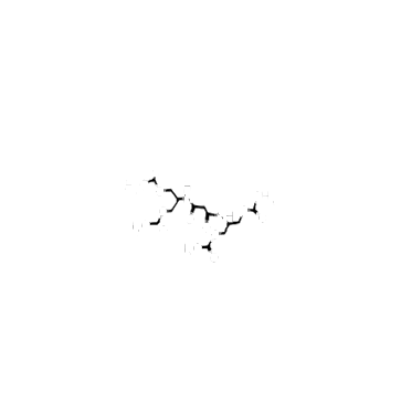 CC(=O)OCC(COC(C)=O)NC(=O)CC(=O)NC(COC(C)=O)COC(C)=O